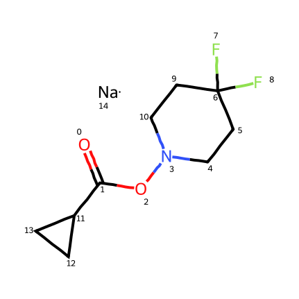 O=C(ON1CCC(F)(F)CC1)C1CC1.[Na]